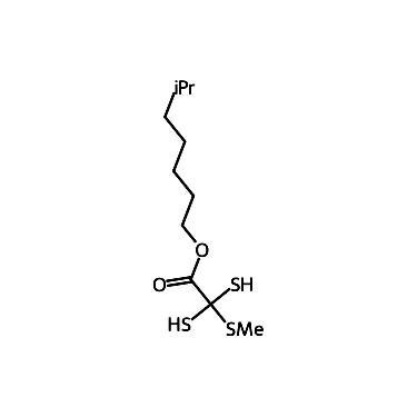 CSC(S)(S)C(=O)OCCCCCC(C)C